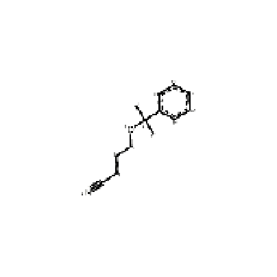 CC(C)(OCCCC#N)c1ccccc1